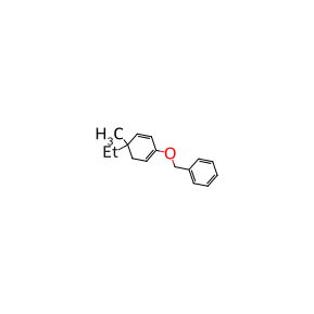 CCC1(C)C=CC(OCc2ccccc2)=CC1